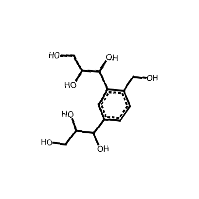 OCc1ccc(C(O)C(O)CO)cc1C(O)C(O)CO